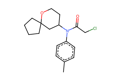 Cc1ccc(N(C(=O)CCl)C2CCOC3(CCCC3)C2)cc1